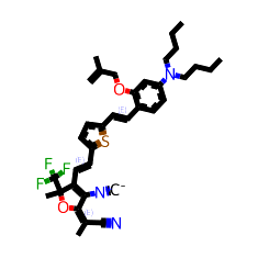 [C-]#[N+]C1=C(/C=C/c2ccc(/C=C/c3ccc(N(CCCC)CCCC)cc3OCC(=C)C)s2)C(C)(C(F)(F)F)O/C1=C(\C)C#N